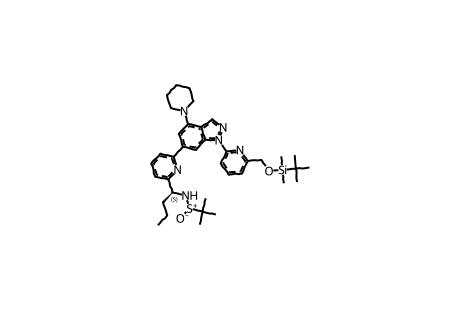 CCC[C@H](N[S+]([O-])C(C)(C)C)c1cccc(-c2cc(N3CCCCC3)c3cnn(-c4cccc(CO[Si](C)(C)C(C)(C)C)n4)c3c2)n1